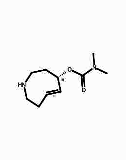 CN(C)C(=O)O[C@@H]1/C=C/CCNCC1